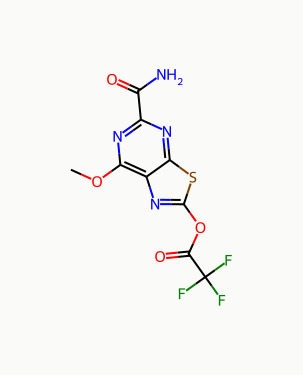 COc1nc(C(N)=O)nc2sc(OC(=O)C(F)(F)F)nc12